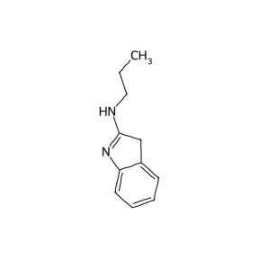 CCCNC1=Nc2ccccc2C1